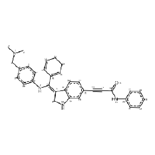 CN(C)Cc1ccc(N/C(C2=CCCC=C2)=C2\CNc3cc(C#CC(=O)Nc4ccccc4)ccc32)cc1